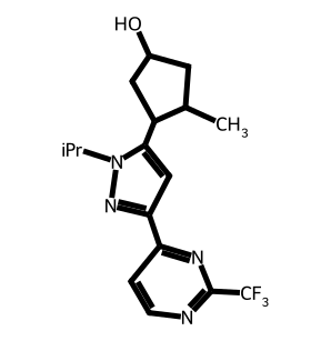 CC1CC(O)CC1c1cc(-c2ccnc(C(F)(F)F)n2)nn1C(C)C